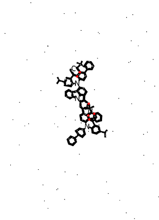 CC(C)c1ccc(N(c2ccc(-c3ccccc3)cc2)c2ccc3c4cc5c(cc4n4c6ccccc6c2c34)c2ccc(N(c3ccc(-c4ccccc4)cc3)c3ccc(C(C)C)cc3-c3ccc(C(C)(C)C)cc3)c3c4ccccc4n5c23)c(-c2ccc(C(C)(C)C)cc2)c1